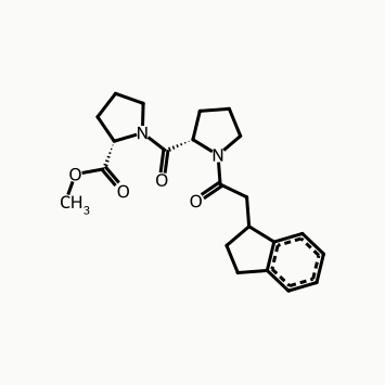 COC(=O)[C@@H]1CCCN1C(=O)[C@@H]1CCCN1C(=O)CC1CCc2ccccc21